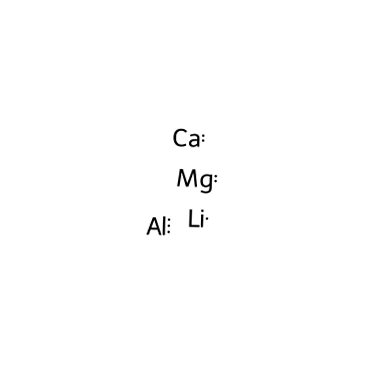 [Al].[Ca].[Li].[Mg]